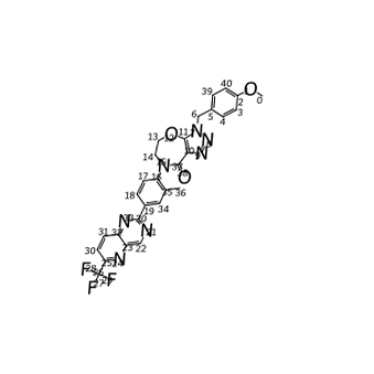 COc1ccc(Cn2nnc3c2OCCN(c2ccc(-c4ncc5nc(C(F)(F)F)ccc5n4)cc2C)C3=O)cc1